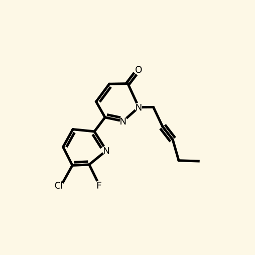 CCC#CCn1nc(-c2ccc(Cl)c(F)n2)ccc1=O